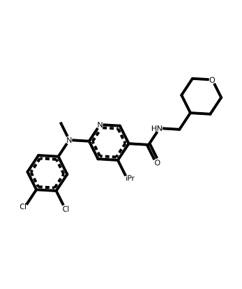 CC(C)c1cc(N(C)c2ccc(Cl)c(Cl)c2)ncc1C(=O)NCC1CCOCC1